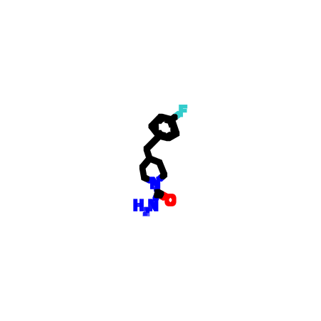 NC(=O)N1CCC(Cc2ccc(F)cc2)CC1